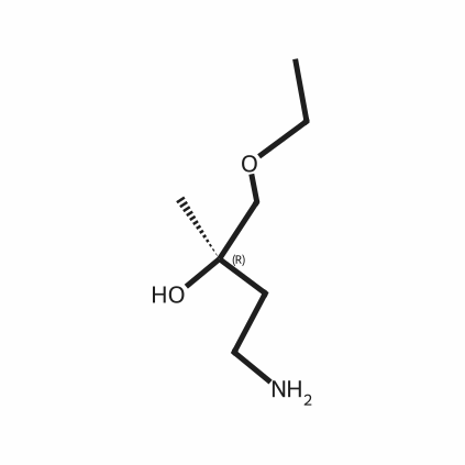 CCOC[C@](C)(O)CCN